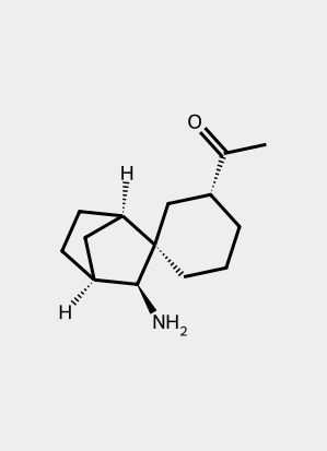 CC(=O)[C@@H]1CCC[C@@]2(C1)[C@@H]1CC[C@@H](C1)[C@@H]2N